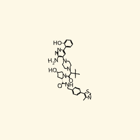 Cc1ncsc1-c1ccc(CNC(=O)[C@@H]2C[C@@H](O)CN2C(=O)C(N2CCN(c3cc(-c4ccccc4O)nnc3N)CC2)C(C)(C)C)cc1